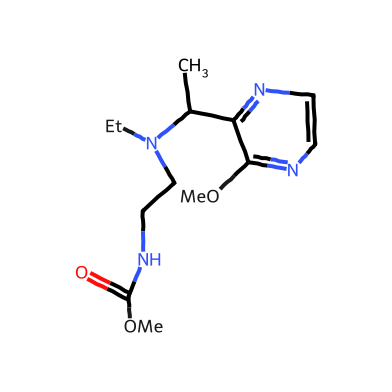 CCN(CCNC(=O)OC)C(C)c1nccnc1OC